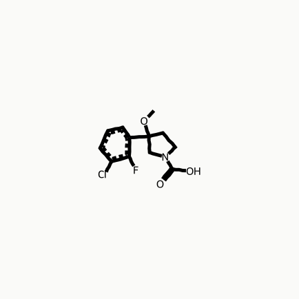 COC1(c2cccc(Cl)c2F)CCN(C(=O)O)C1